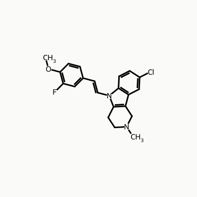 COc1ccc(C=Cn2c3c(c4cc(Cl)ccc42)CN(C)CC3)cc1F